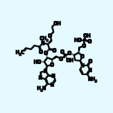 C=CCCC(=O)N(C)[C@@H](COCCO)C(=O)O[C@H]1[C@@H](O)[C@H](n2cnc3c(N)ncnc32)O[C@@H]1COP(=O)(O)O[C@H]1C[C@H](n2ccc(N)nc2=O)O[C@@H]1COP(=O)(O)O